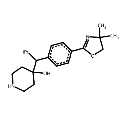 CC(C)C(c1ccc(C2=NC(C)(C)CO2)cc1)C1(O)CCNCC1